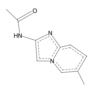 CC(=O)Nc1cn2cc(C)ccc2n1